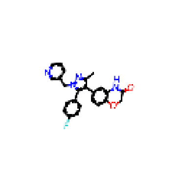 Cc1nn(Cc2cccnc2)c(-c2ccc(F)cc2)c1-c1ccc2c(c1)NC(=O)CO2